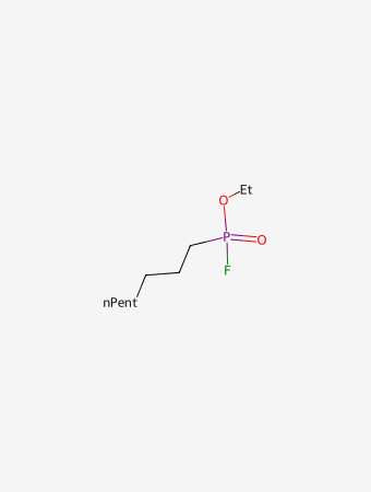 CCCCCCCCP(=O)(F)OCC